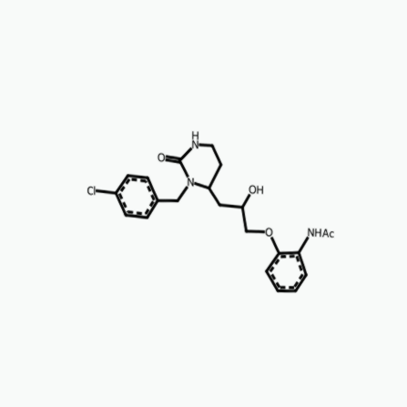 CC(=O)Nc1ccccc1OCC(O)CC1CCNC(=O)N1Cc1ccc(Cl)cc1